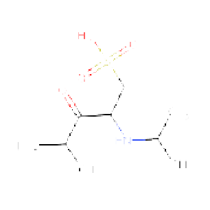 CC(C)NC(CS(=O)(=O)O)C(=O)C(C)C